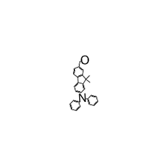 CC1(C)c2cc(C=O)ccc2-c2ccc(N(c3ccccc3)c3ccccc3)cc21